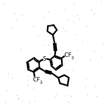 FC(F)(F)c1cccc(Sc2cccc(C(F)(F)F)c2C#CC2CCCC2)c1C#CC1CCCC1